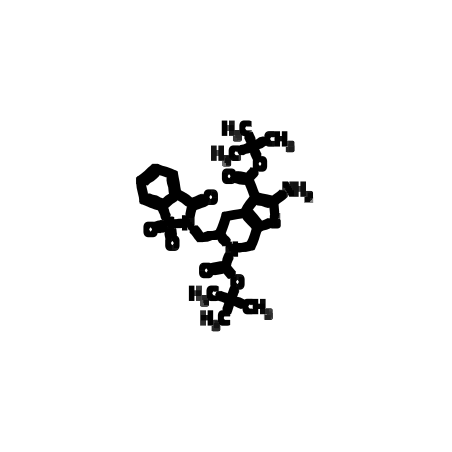 CC(C)(C)OC(=O)c1c(N)sc2c1CC(CN1C(=O)c3ccccc3S1(=O)=O)N(C(=O)OC(C)(C)C)C2